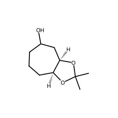 CC1(C)O[C@H]2CCCC(O)C[C@H]2O1